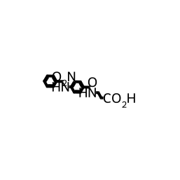 O=C(O)CCNC(=O)c1ccc(NCc2ccccc2)c([N+](=O)[O-])c1